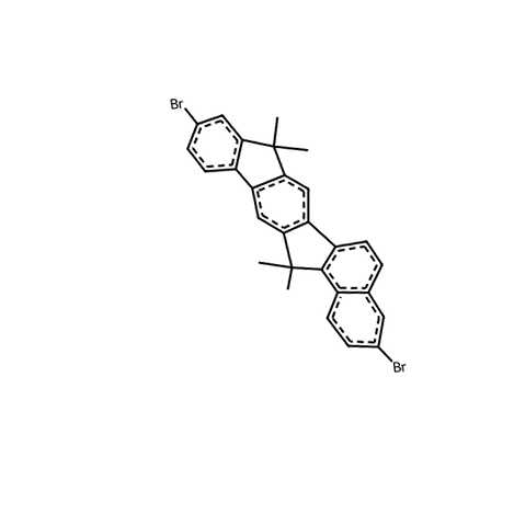 CC1(C)c2cc(Br)ccc2-c2cc3c(cc21)-c1ccc2cc(Br)ccc2c1C3(C)C